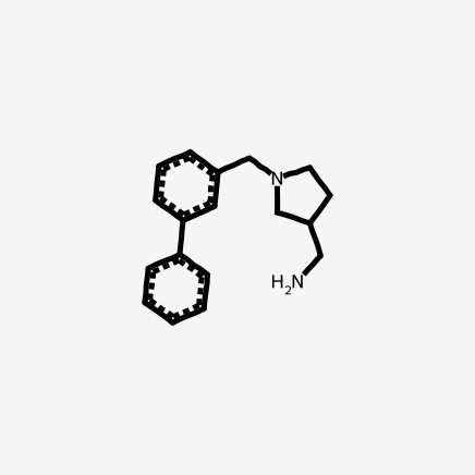 NCC1CCN(Cc2cccc(-c3ccccc3)c2)C1